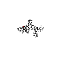 c1ccc(-c2cc(-c3ccccc3)nc(-c3ccc(-n4c5ccccc5c5ccc6c(c54)Sc4ccccc4C64c5ccccc5-n5c6ccccc6c6cccc4c65)cc3)n2)cc1